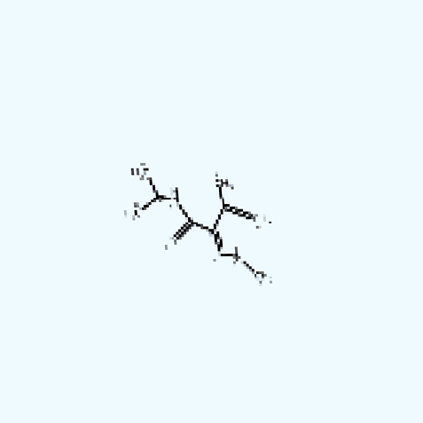 C=C(C)/C(=N\NC)C(=O)NC(C)C